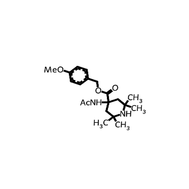 COc1ccc(COC(=O)C2(NC(C)=O)CC(C)(C)NC(C)(C)C2)cc1